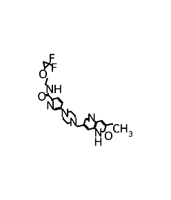 CCc1cc2ncc(CN3CCN(c4ccc(C(=O)NCCOC5CC5(F)F)nc4)CC3)cc2[nH]c1=O